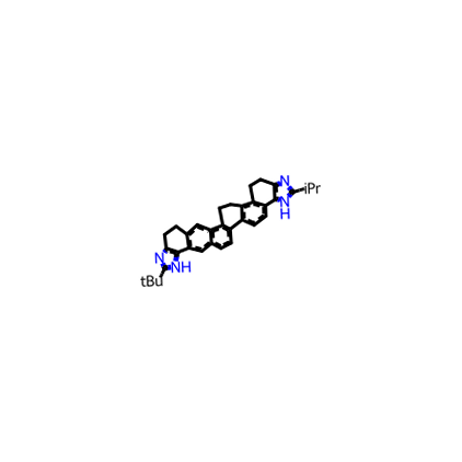 CC(C)c1nc2c([nH]1)-c1ccc3c(c1CC2)CCc1c-3ccc2cc3c(cc12)CCc1nc(C(C)(C)C)[nH]c1-3